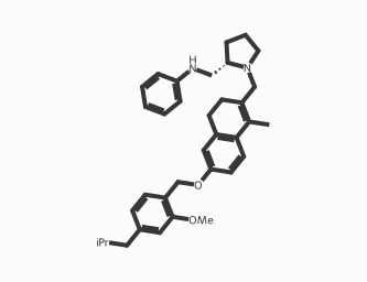 COc1cc(CC(C)C)ccc1COc1ccc2c(c1)CCC(CN1CCC[C@H]1CNc1ccccc1)=C2C